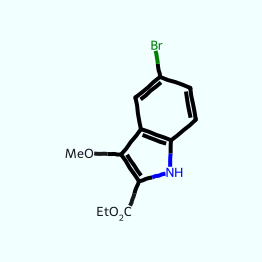 CCOC(=O)c1[nH]c2ccc(Br)cc2c1OC